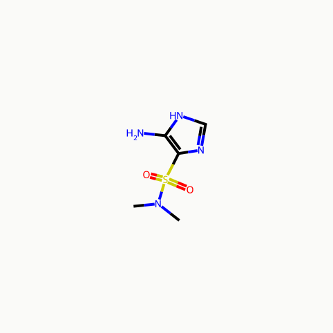 CN(C)S(=O)(=O)c1nc[nH]c1N